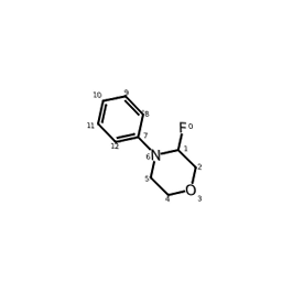 FC1COCCN1c1[c]cccc1